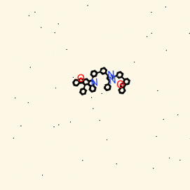 c1ccc(-c2cc(-c3cccc(-c4cccc(-c5nc6ccccc6c6c(-c7ccccc7)c7c(cc56)oc5ccccc57)c4)c3)nc(-c3cccc(-c4cccc5c4oc4ccccc45)c3)n2)cc1